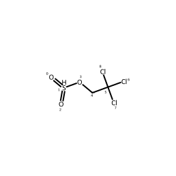 O=[SH](=O)O[CH]C(Cl)(Cl)Cl